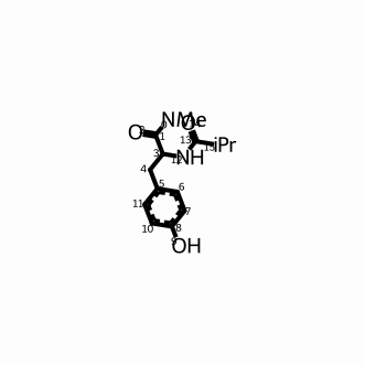 CNC(=O)C(Cc1ccc(O)cc1)NC(=O)C(C)C